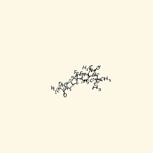 C[C@@H](O)C(=O)N1CC2CC3(c4ccc5c(n4)n(C)c(=O)n5CC(C)(C)C)C(C2C1)C3(F)F